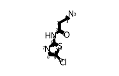 N#CCC(=O)Nc1ncc(Cl)s1